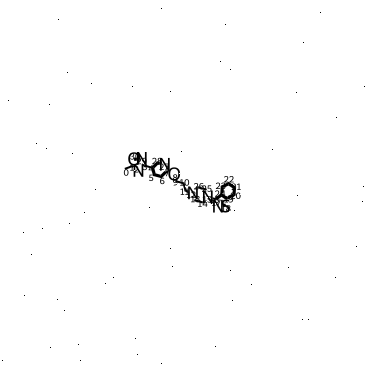 Cc1nc(-c2ccc(OCCCN3CCN(c4nsc5ccccc45)CC3)nc2)no1